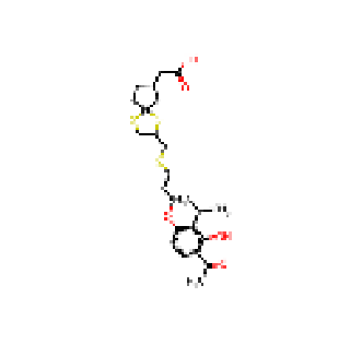 CC(=O)c1ccc(OCCCSCC2CSC3(CCC(CC(=O)O)C3)S2)c(C(C)C)c1O